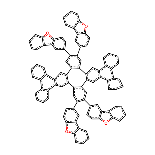 c1ccc2c(c1)oc1ccc(-c3cc4c(cc3-c3ccc5oc6ccccc6c5c3)-c3cc5c6ccccc6c6ccccc6c5cc3-c3cc(-c5ccc6oc7ccccc7c6c5)c(-c5ccc6oc7ccccc7c6c5)cc3-c3cc5c6ccccc6c6ccccc6c5cc3-4)cc12